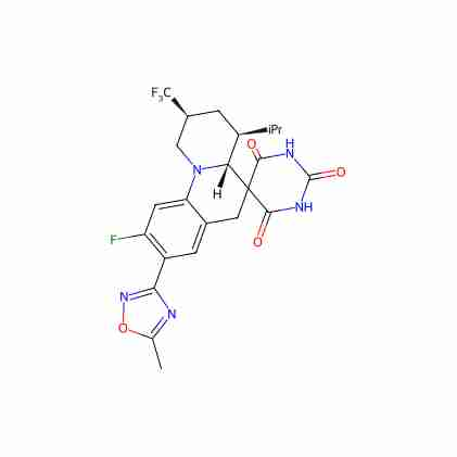 Cc1nc(-c2cc3c(cc2F)N2C[C@@H](C(F)(F)F)C[C@@H](C(C)C)[C@@H]2C2(C3)C(=O)NC(=O)NC2=O)no1